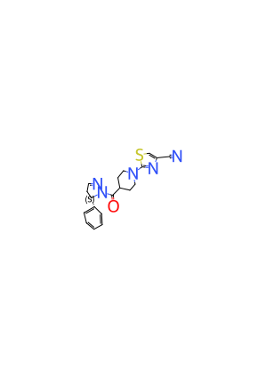 N#Cc1csc(N2CCC(C(=O)N3N=CC[C@H]3c3ccccc3)CC2)n1